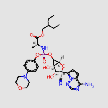 CCC(CC)COC(=O)[C@H](C)NP(=O)(Oc1ccc(N2CCOCC2)cc1)OC1[C@H]2O[C@@](C#N)(c3ccc4c(N)ncnn34)[C@H](O)[C@@]12O